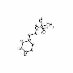 CS(=O)(=O)OCCC1CC[N]CC1